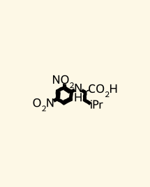 CC(C)C[C@H](Nc1ccc([N+](=O)[O-])cc1[N+](=O)[O-])C(=O)O